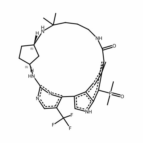 CC1(C)CCCNC(=O)c2ccc3c(c[nH]c3c2P(C)(C)=O)-c2nc(ncc2C(F)(F)F)N[C@H]2CC[C@@H](C2)N1